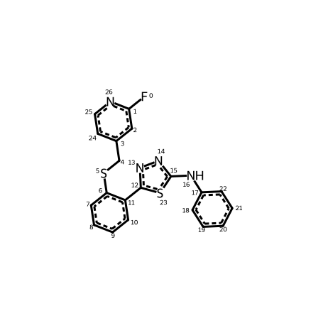 Fc1cc(CSc2ccccc2-c2nnc(Nc3ccccc3)s2)ccn1